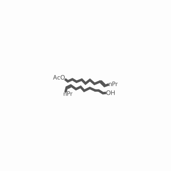 CCC/C=C/CCCCCCCOC(C)=O.CCC/C=C\CCCCCCCO